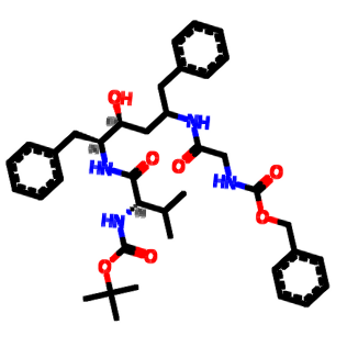 CC(C)[C@H](NC(=O)OC(C)(C)C)C(=O)N[C@@H](Cc1ccccc1)[C@@H](O)CC(Cc1ccccc1)NC(=O)CNC(=O)OCc1ccccc1